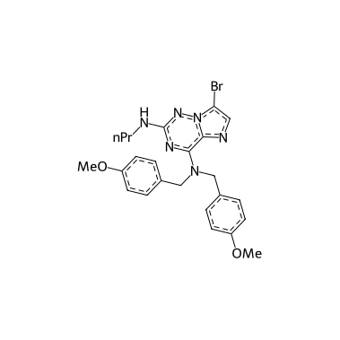 CCCNc1nc(N(Cc2ccc(OC)cc2)Cc2ccc(OC)cc2)c2ncc(Br)n2n1